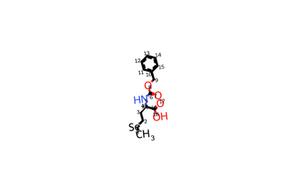 C[Se]CC[C@@H](NC(=O)OCc1ccccc1)C(=O)O